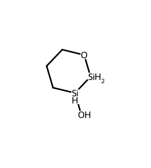 O[SiH]1CCCO[SiH2]1